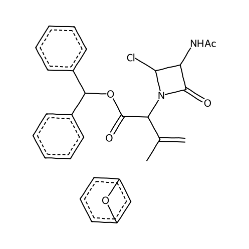 C=C(C)C(C(=O)OC(c1ccccc1)c1ccccc1)N1C(=O)C(NC(C)=O)C1Cl.c1cc2cc(c1)O2